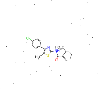 Cc1sc(NC(=O)C2=CCCCC2C(=O)O)nc1-c1ccc(Cl)cc1